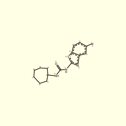 O=C(Nc1nc2cc(Br)ccc2s1)NC1CCCCCC1